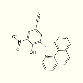 N#Cc1cc(I)c(O)c([N+](=O)[O-])c1.c1cnc2c(c1)ccc1cccnc12